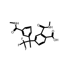 CNC(=O)c1cccc(C(C)(c2ccc(C(=O)O)c(C(=O)NC)c2)C(F)(F)F)c1